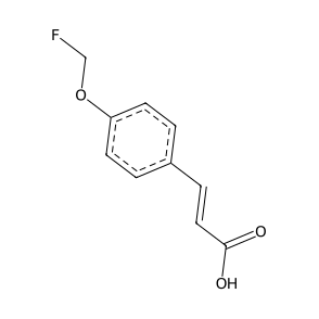 O=C(O)C=Cc1ccc(OCF)cc1